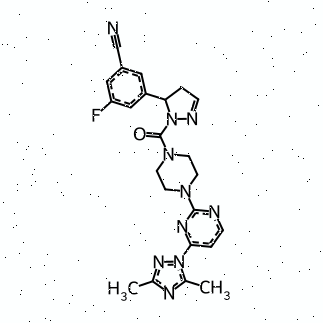 Cc1nc(C)n(-c2ccnc(N3CCN(C(=O)N4N=CCC4c4cc(F)cc(C#N)c4)CC3)n2)n1